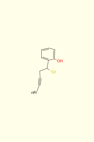 CCCC#CCC(S)c1ccccc1O